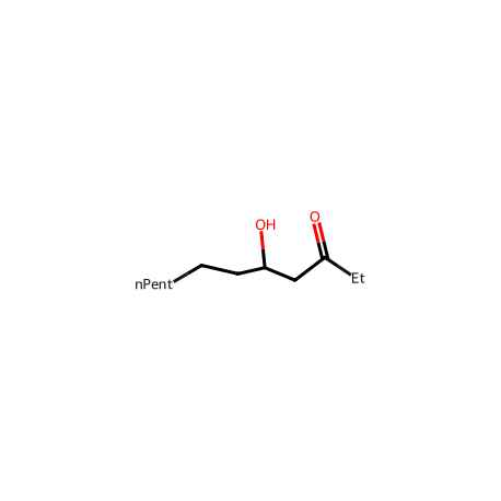 CCCCCCCC(O)CC(=O)CC